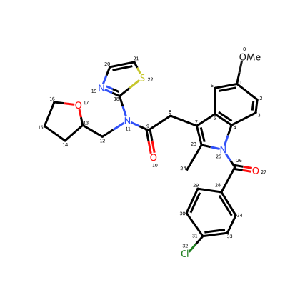 COc1ccc2c(c1)c(CC(=O)N(CC1CCCO1)c1nccs1)c(C)n2C(=O)c1ccc(Cl)cc1